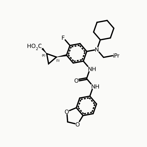 CC(C)CN(c1cc(F)c([C@H]2C[C@H]2C(=O)O)cc1NC(=O)Nc1ccc2c(c1)OCO2)C1CCCCC1